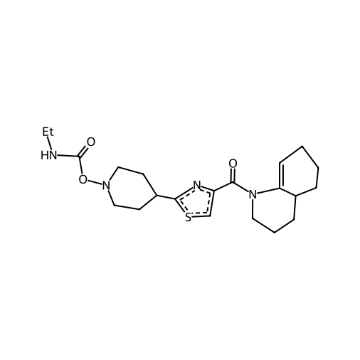 CCNC(=O)ON1CCC(c2nc(C(=O)N3CCCC4CCCC=C43)cs2)CC1